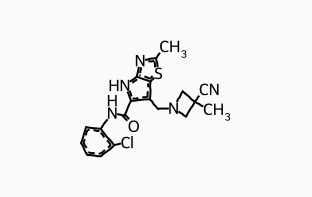 Cc1nc2[nH]c(C(=O)Nc3ccccc3Cl)c(CN3CC(C)(C#N)C3)c2s1